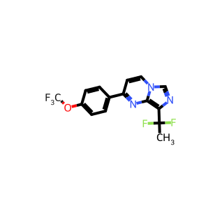 CC(F)(F)c1ncn2ccc(-c3ccc(OC(F)(F)F)cc3)nc12